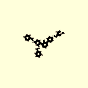 Cc1c(-c2ccc(OCc3ccn(C)n3)cc2)cccc1-c1ccc(OCc2ccccc2)nc1OCc1ccccc1